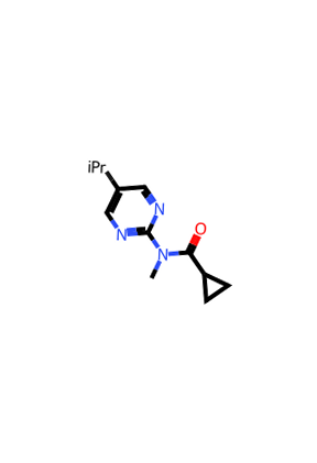 CC(C)c1cnc(N(C)C(=O)C2CC2)nc1